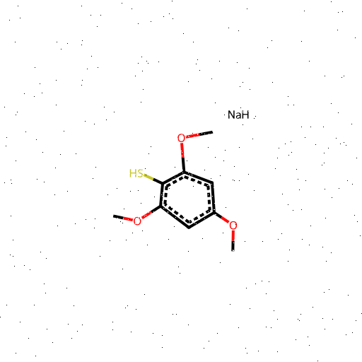 COc1cc(OC)c(S)c(OC)c1.[NaH]